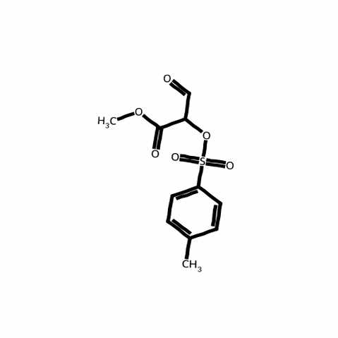 COC(=O)C(C=O)OS(=O)(=O)c1ccc(C)cc1